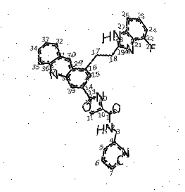 O=C(NCc1ccccn1)c1coc(-c2cc(CCc3nc4c(F)cccc4[nH]3)c3cc4ccccc4nc3c2)n1